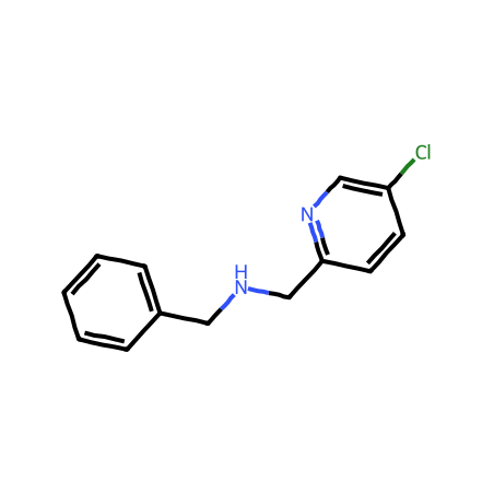 Clc1ccc(CNCc2ccccc2)nc1